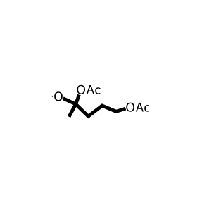 CC(=O)OCCCC(C)([O])OC(C)=O